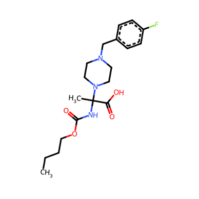 CCCCOC(=O)NC(C)(C(=O)O)N1CCN(Cc2ccc(F)cc2)CC1